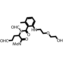 CNC(=O)C(CCC=O)N(C=O)C(=O)c1c(C)cccc1NCCOCCO